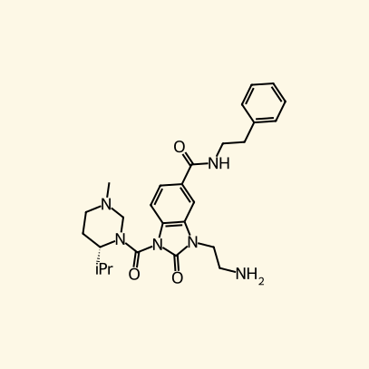 CC(C)[C@@H]1CCN(C)CN1C(=O)n1c(=O)n(CCN)c2cc(C(=O)NCCc3ccccc3)ccc21